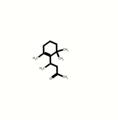 CC(=O)CC(C)C1=C(C)CCCC1(C)C